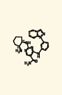 NC(=O)c1cnc(N[C@@H]2CCCC[C@@H]2N)nc1Nc1cccc(-n2ncc3ccccc32)c1